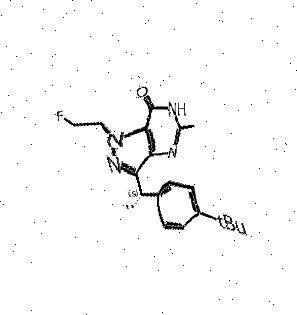 Cc1nc2c([C@@H](C)c3ccc(C(C)(C)C)cc3)nn(CCF)c2c(=O)[nH]1